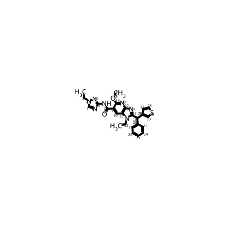 CCn1cnc(NC(=O)c2cc3c(nc2OC)nc(C(c2ccccc2)c2ccsc2)n3CC)n1